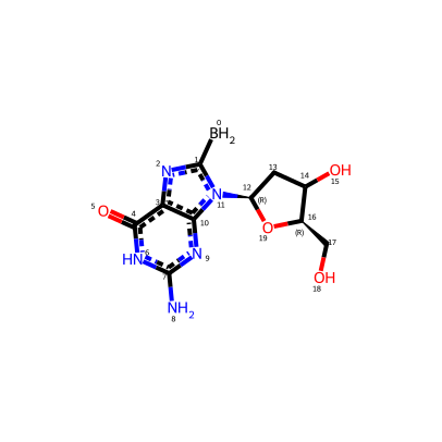 Bc1nc2c(=O)[nH]c(N)nc2n1[C@H]1CC(O)[C@@H](CO)O1